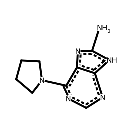 Nc1nc2c(N3CCCC3)ncnc2[nH]1